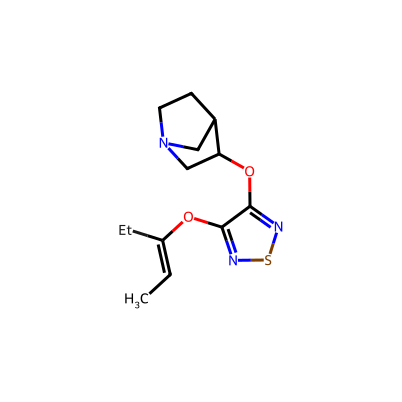 CC=C(CC)Oc1nsnc1OC1CN2CCC1C2